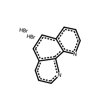 Br.Br.c1cnc2c(c1)ccc1cccnc12